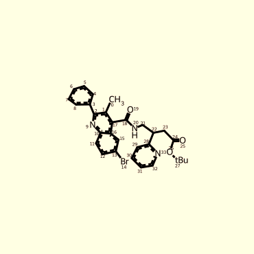 Cc1c(-c2ccccc2)nc2ccc(Br)cc2c1C(=O)NCC(CC(=O)OC(C)(C)C)c1ccccn1